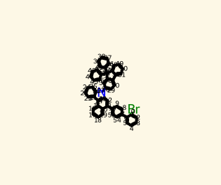 Brc1ccccc1-c1ccc(-c2cc3c(c4ccccc24)c2ccccc2n3-c2ccc3c(c2)C(c2ccccc2)(c2ccccc2)c2ccccc2-3)cc1